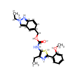 CCc1nc(-c2ccccc2OC)sc1NC(=O)OCc1ccc2nn(CC)cc2c1